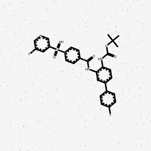 CC(C)(C)OC(=O)Nc1ccc(-c2ccc(F)cc2)cc1NC(=O)c1ccc(S(=N)(=O)c2cncc(F)c2)cc1